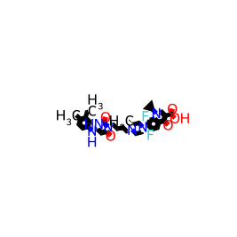 CCc1cc(Nc2cc(=O)n(CCCCN3CCN(c4c(F)cc5c(=O)c(C(=O)O)cn(C6CC6)c5c4F)C[C@H]3C)c(=O)[nH]2)ccc1C